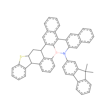 CC1(C)c2ccccc2-c2ccc(N3B4c5cccc6c5C(CC5Sc7ccccc7C65)c5cc6ccccc6c(c54)-c4cc5ccccc5cc43)cc21